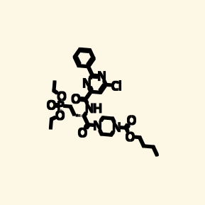 CCCCOC(=O)N1CCN(C(=O)[C@H](CCP(=O)(OCC)OCC)NC(=O)c2cc(Cl)nc(-c3ccccc3)n2)CC1